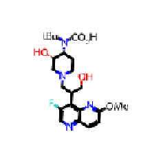 COc1ccc2ncc(F)c(C(CO)CN3CC[C@@H](N(C(=O)O)C(C)(C)C)[C@@H](O)C3)c2n1